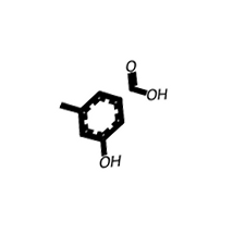 Cc1cccc(O)c1.O=CO